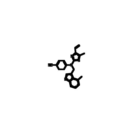 C=Cc1nc(N(Cc2csc3cccc(C)c23)C2=CC=C(C#N)CC2)sc1C